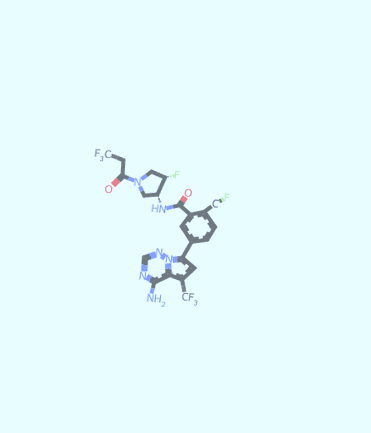 Nc1ncnn2c(-c3ccc(CF)c(C(=O)N[C@@H]4CN(C(=O)CC(F)(F)F)C[C@@H]4F)c3)cc(C(F)(F)F)c12